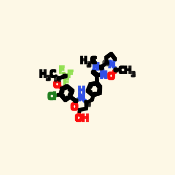 CC(=O)N1CCC[C@@H]1c1nc(-c2ccc(C[C@@H](CCO)NC(=O)c3ccc(O[C@H](C)C(F)(F)F)c(Cl)c3)cc2)cn1C